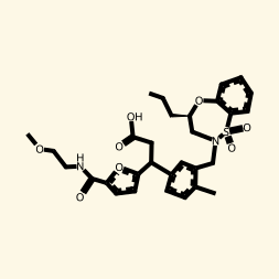 CCC[C@@H]1CN(Cc2cc(C(CC(=O)O)c3ccc(C(=O)NCCOC)o3)ccc2C)S(=O)(=O)c2ccccc2O1